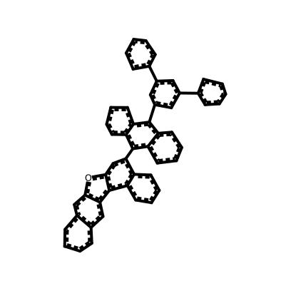 c1ccc(-c2cc(-c3ccccc3)cc(-c3c4ccccc4c(-c4cc5oc6cc7ccccc7cc6c5c5ccccc45)c4ccccc34)c2)cc1